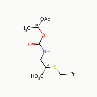 CC(=O)O[C@@H](C)OC(=O)NC[C@H](SCC(C)C)C(=O)O